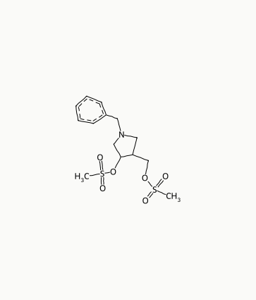 CS(=O)(=O)OCC1CN(Cc2ccccc2)CC1OS(C)(=O)=O